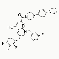 O=C(/C=C(/O)c1cc(Cc2ccc(F)c(F)c2F)cn(Cc2cccc(F)c2)c1=O)C(=O)N1CCN(c2ccc(-n3cccc3)cc2)CC1